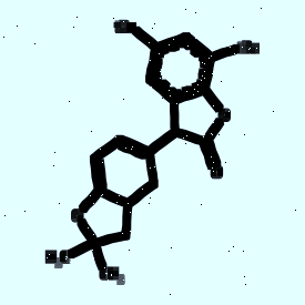 CC1(C)CC2CC(C3C(=O)Oc4c3cc(C(C)(C)C)cc4C(C)(C)C)=CC=C2O1